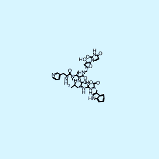 CC(C)C[C@H](NC(=O)N[C@@H](Cc1c[nH]c2ccccc12)C(=O)O)C(=O)N[C@H](C(=O)NC[C@H]1C[C@@H](O)[C@H](n2ccc(=O)[nH]c2=O)O1)[C@H](C)N(C)C(=O)[C@@H](N)Cc1cccnc1